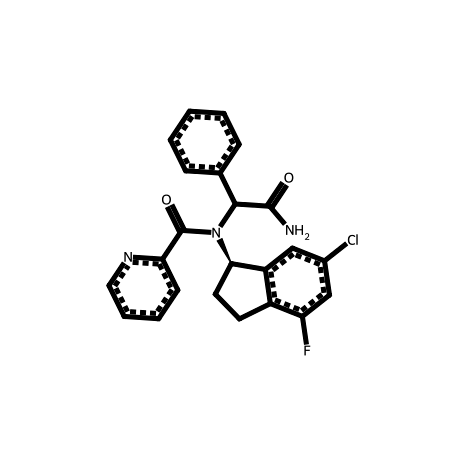 NC(=O)C(c1ccccc1)N(C(=O)c1ccccn1)[C@@H]1CCc2c(F)cc(Cl)cc21